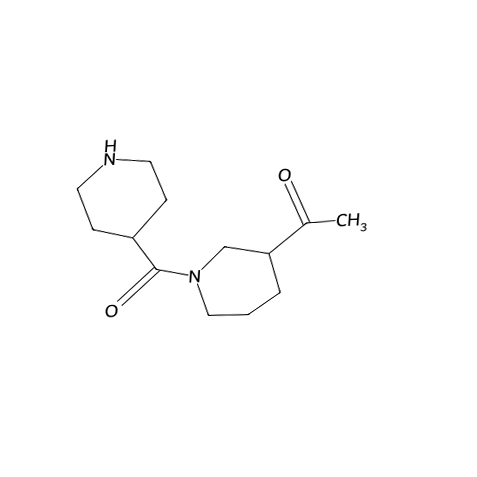 CC(=O)C1CCCN(C(=O)C2CCNCC2)C1